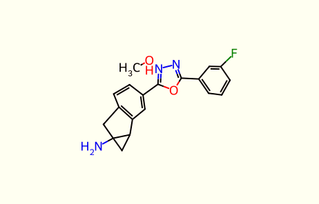 CO.NC12Cc3ccc(-c4nnc(-c5cccc(F)c5)o4)cc3C1C2